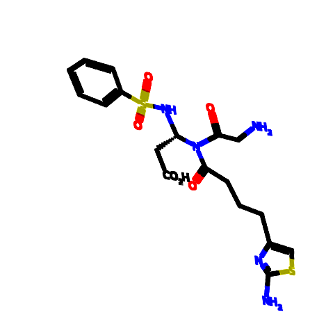 NCC(=O)N(C(=O)CCCc1csc(N)n1)[C@H](CC(=O)O)NS(=O)(=O)c1ccccc1